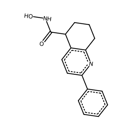 O=C(NO)C1CCCc2nc(-c3ccccc3)ccc21